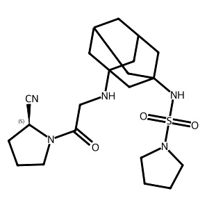 N#C[C@@H]1CCCN1C(=O)CNC12CC3CC(C1)CC(NS(=O)(=O)N1CCCC1)(C3)C2